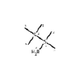 BS(C)(C)S(C)(C)C